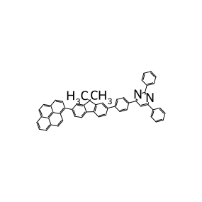 CC1(C)c2cc(-c3ccc(-c4cc(-c5ccccc5)nc(-c5ccccc5)n4)cc3)ccc2-c2ccc(-c3ccc4ccc5cccc6ccc3c4c56)cc21